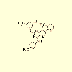 CC1CC(C)CN(Cc2nc(Nc3ccc(C(F)(F)F)cc3)c3ncc(-c4ncccc4C(F)(F)F)cc3n2)C1